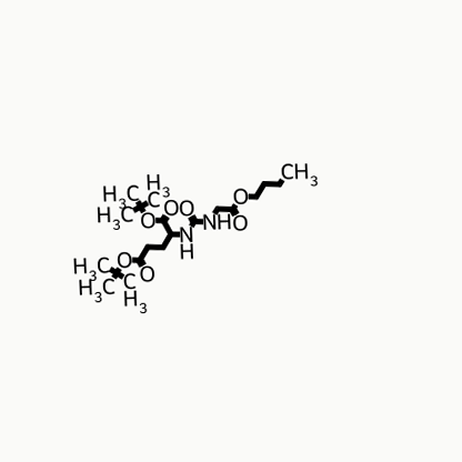 CCCCOC(=O)CNC(=O)NC(CCC(=O)OC(C)(C)C)C(=O)OC(C)(C)C